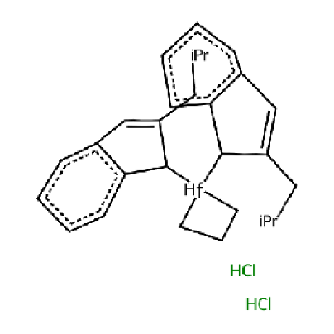 CC(C)CC1=Cc2ccccc2[CH]1[Hf]1([CH]2C(CC(C)C)=Cc3ccccc32)[CH2]C[CH2]1.Cl.Cl